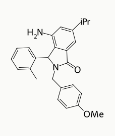 COc1ccc(CN2C(=O)c3cc(C(C)C)cc(N)c3C2c2ccccc2C)cc1